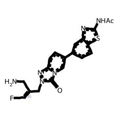 CC(=O)Nc1nc2cc(-c3ccc4nn(C/C(=C/F)CN)c(=O)n4c3)ccc2s1